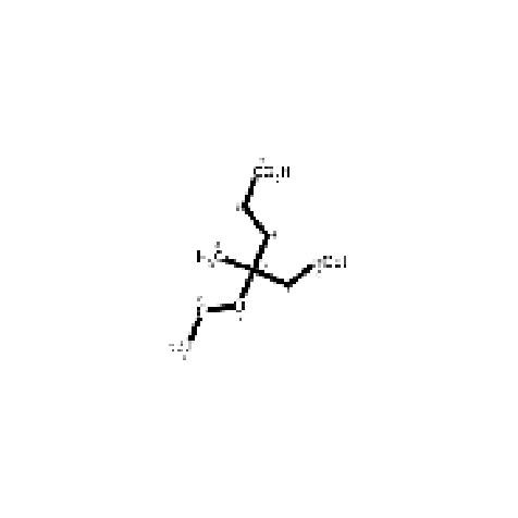 CCCCCCCCCC(C)(CCC(=O)O)OOC(C)(C)C